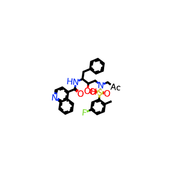 CC(=O)CN(CC(O)C(Cc1ccccc1)NC(=O)c1ccnc2ccccc12)S(=O)(=O)c1cc(F)ccc1C